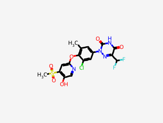 Cc1cc(-n2nc(C(F)F)c(=O)[nH]c2=O)cc(Cl)c1Oc1cc(S(C)(=O)=O)c(O)cn1